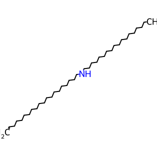 C=CCCCCCCCCCCCCCCCCCCNCCCCCCCCCCCCCCCCCC